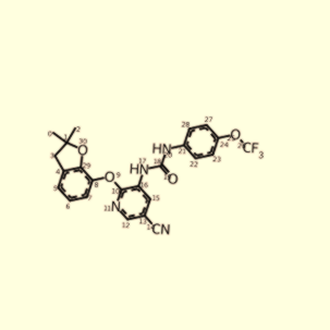 CC1(C)Cc2cccc(Oc3ncc(C#N)cc3NC(=O)Nc3ccc(OC(F)(F)F)cc3)c2O1